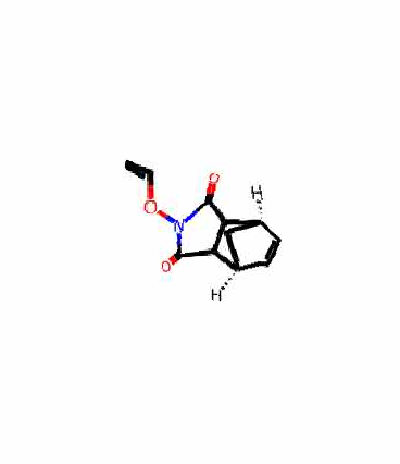 C=CON1C(=O)C2C(C1=O)[C@H]1C=C[C@@H]2C1